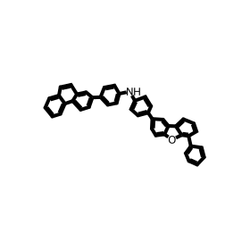 c1ccc(-c2cccc3c2oc2ccc(-c4ccc(Nc5ccc(-c6ccc7c(ccc8ccccc87)c6)cc5)cc4)cc23)cc1